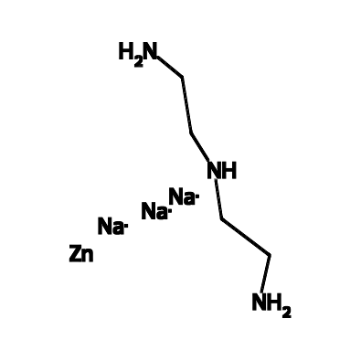 NCCNCCN.[Na].[Na].[Na].[Zn]